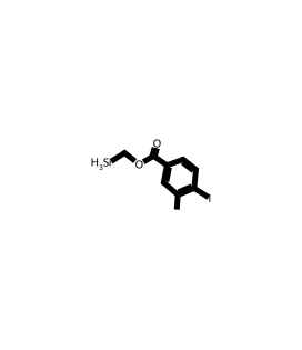 Cc1cc(C(=O)OC[SiH3])ccc1I